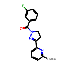 COc1cccc(C2=NN(C(=O)c3cccc(F)c3)CC2)n1